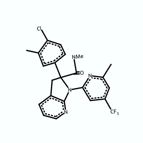 CNC(=O)C1(c2ccc(Cl)c(C)c2)Cc2cccnc2N1c1cc(C(F)(F)F)cc(C)n1